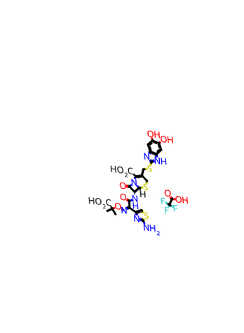 CC(C)(O/N=C(\C(=O)N[C@@H]1C(=O)N2C(C(=O)O)=C(CSc3nc4cc(O)c(O)cc4[nH]3)CS[C@H]12)c1csc(N)n1)C(=O)O.O=C(O)C(F)(F)F